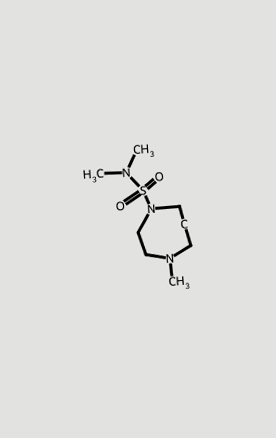 CN1CCCN(S(=O)(=O)N(C)C)CC1